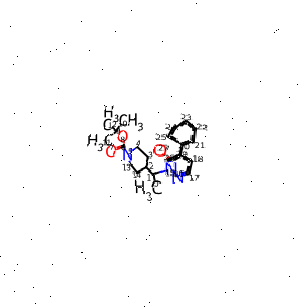 CC(C1CCN(C(=O)OC(C)(C)C)CC1)n1nccc(-c2ccccc2)c1=O